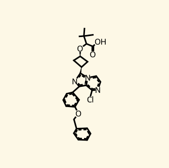 CC(C)(C)C(O[C@H]1C[C@@H](c2nc(-c3cccc(OCc4ccccc4)c3)c3c(Cl)nccn32)C1)C(=O)O